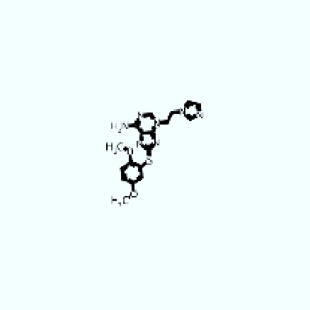 COc1ccc(OC)c(Sc2nc3c(N)ncn(CCn4ccnc4)c-3n2)c1